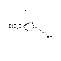 CCOC(=O)c1ccc(CCCC(C)=O)cc1